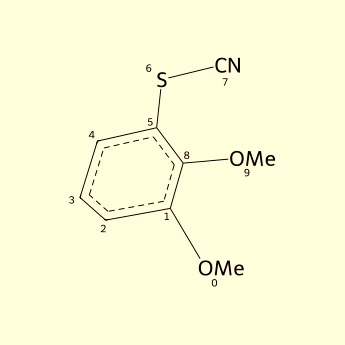 COc1cccc(SC#N)c1OC